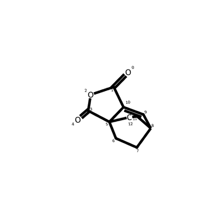 O=C1OC(=O)C23CCC(C=C12)CC3